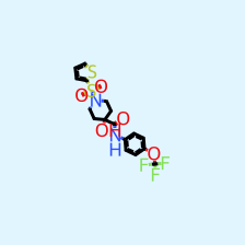 O=C(Nc1ccc(OC(F)(F)F)cc1)C1(O)CCN(S(=O)(=O)c2cccs2)CC1